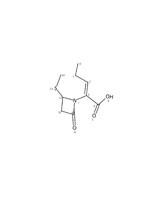 CC/C=C(/C(=O)O)N1C(=O)CC1SC